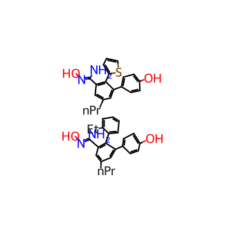 CCCc1cc(/C(N)=N/O)c(-c2ccccc2CC)c(-c2ccc(O)cc2)c1.CCCc1cc(/C(N)=N/O)c(-c2cccs2)c(-c2ccc(O)cc2)c1